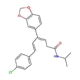 CC(C)NC(=O)CC=C(C=Cc1ccc(Cl)cc1)c1ccc2c(c1)OCO2